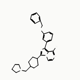 Nc1nccn2c(C3CCC(CN4CCCC4)CC3)nc(-c3cccc(OCc4ccccc4)c3)c12